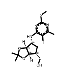 CSc1nc(C)c(I)c(N[C@@H]2C[C@H](CO)[C@H]3OC(C)(C)O[C@H]32)n1